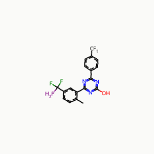 Cc1ccc(C(F)(F)P)cc1-c1nc(O)nc(-c2ccc(C(F)(F)F)cc2)n1